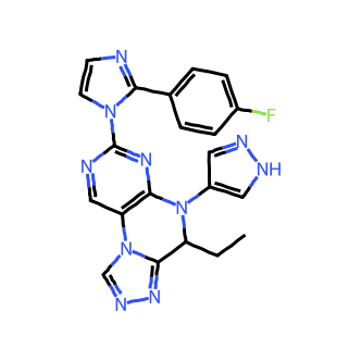 CCC1c2nncn2-c2cnc(-n3ccnc3-c3ccc(F)cc3)nc2N1c1cn[nH]c1